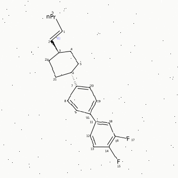 CCC/C=C/[C@H]1CC[C@H](c2ccc(-c3ccc(F)c(F)c3)cc2)CC1